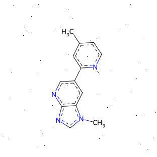 Cc1ccnc(-c2cnc3ncn(C)c3c2)c1